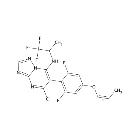 C/C=C\Oc1cc(F)c(-c2c(Cl)nc3ncnn3c2NC(C)C(F)(F)F)c(F)c1